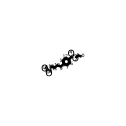 CCOC(=O)c1ccc(CC/C=C/[N+](=O)[O-])cc1